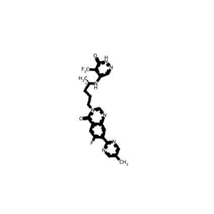 Cc1cnc(-c2cc3ncn(CCC[C@H](C)Nc4cn[nH]c(=O)c4C(F)(F)F)c(=O)c3cc2F)nc1